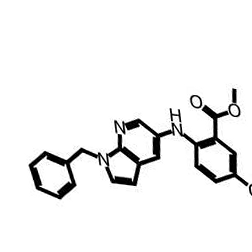 COC(=O)c1cc(Cl)ccc1Nc1cnc2c(ccn2Cc2ccccc2)c1